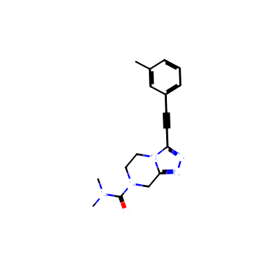 Cc1cccc(C#Cc2nnc3n2CCN(C(=O)N(C)C)C3)c1